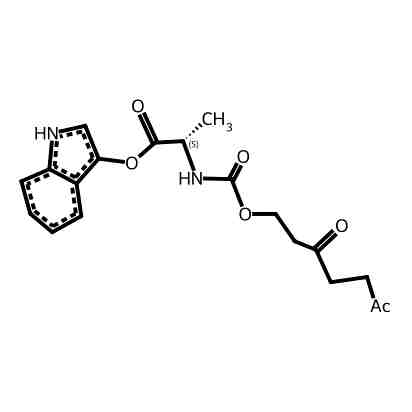 CC(=O)CCC(=O)CCOC(=O)N[C@@H](C)C(=O)Oc1c[nH]c2ccccc12